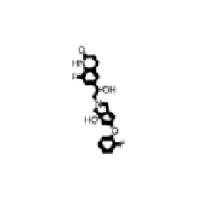 O=C1CCc2cc([C@H](O)CN3CC4=CC(Oc5ccccc5F)=C[C@@]4(O)C3)cc(F)c2N1